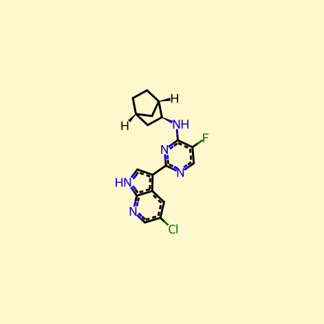 Fc1cnc(-c2c[nH]c3ncc(Cl)cc23)nc1N[C@H]1C[C@@H]2CC[C@H]1C2